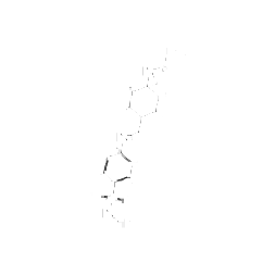 CC(C)NS(=O)(=O)c1ccc(NCC2CCC(NSC(C)(C)C)CC2)cc1